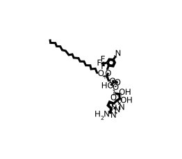 CCCCCCCCCCCCCCCCCCOC[C@H](COP(=O)(O)OC[C@H]1O[C@@](C#N)(c2ccc3c(N)ncnn23)[C@H](O)[C@@H]1O)OCc1ccc(C#N)cc1C(F)(F)F